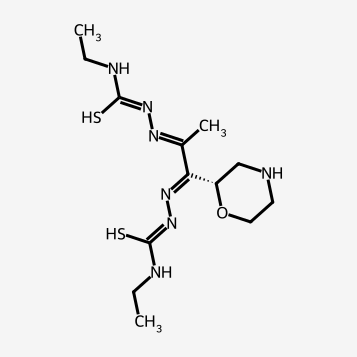 CCN/C(S)=N/N=C(/C(C)=N/N=C(\S)NCC)[C@@H]1CNCCO1